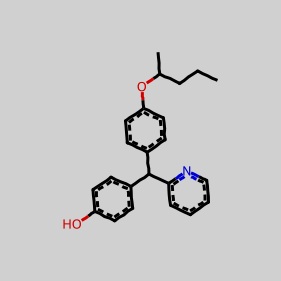 CCCC(C)Oc1ccc(C(c2ccc(O)cc2)c2ccccn2)cc1